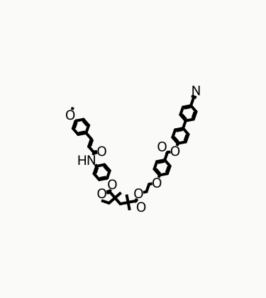 CCC(C)(CC(C)(C)C(=O)OCCOc1ccc(C(=O)Oc2ccc(-c3ccc(C#N)cc3)cc2)cc1)C(=O)Oc1ccc(NC(=O)/C=C/c2ccc(OC)cc2)cc1